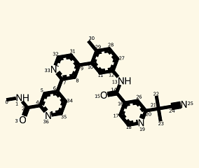 CNC(=O)c1cc(-c2cc(-c3cc(NC(=O)c4ccnc(C(C)(C)C#N)c4)ccc3C)ccn2)ccn1